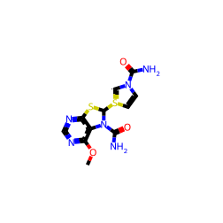 COc1ncnc2c1N(C(N)=O)C(S1=[C]N(C(N)=O)C=C1)S2